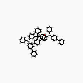 c1ccc(-c2ccc(N(c3ccccc3)c3ccc(-c4ccccc4C4(c5ccccc5)c5ccccc5-c5ccc(N(c6ccccc6)c6ccc(-c7ccccc7)cc6)cc54)cc3)cc2)cc1